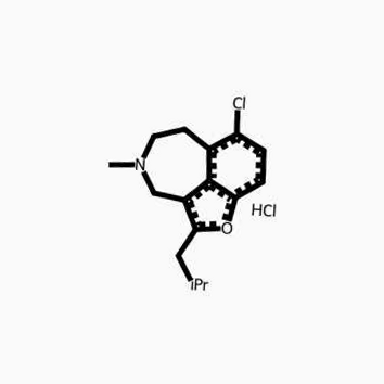 CC(C)Cc1oc2ccc(Cl)c3c2c1CN(C)CC3.Cl